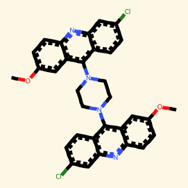 COc1ccc2nc3cc(Cl)ccc3c(N3CCN(c4c5ccc(Cl)cc5nc5ccc(OC)cc45)CC3)c2c1